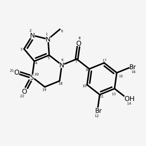 Cn1ncc2c1N(C(=O)c1cc(Br)c(O)c(Br)c1)CCS2(=O)=O